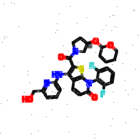 O=C(c1sc2c(ccc(=O)n2-c2c(F)cccc2F)c1Nc1cccc(CO)n1)N1CC[C@@H](OC2CCCCO2)C1